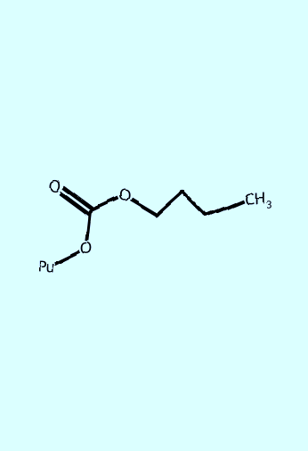 CCCCOC(=O)[O][Pu]